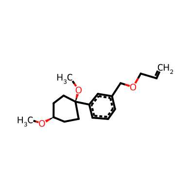 C=CCOCc1cccc([C@]2(OC)CC[C@@H](OC)CC2)c1